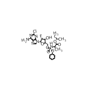 CC(C)OC(=O)[C@@H](C)NP(=O)(OC[C@H]1O[C@H](n2cnc3c(N)nc(Cl)nc32)[C@@H](F)[C@@H]1O)Oc1ccccc1